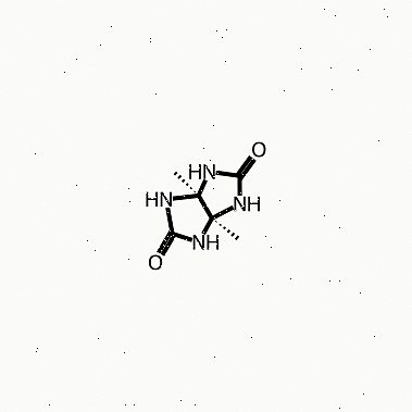 C[C@]12NC(=O)N[C@@]1(C)NC(=O)N2